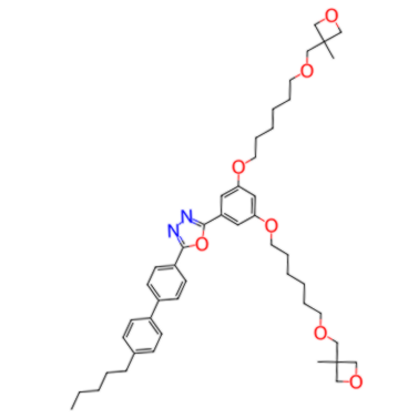 CCCCCc1ccc(-c2ccc(-c3nnc(-c4cc(OCCCCCCOCC5(C)COC5)cc(OCCCCCCOCC5(C)COC5)c4)o3)cc2)cc1